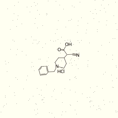 Cl.N#CC(C(=O)O)C1CCN(Cc2ccccc2)CC1